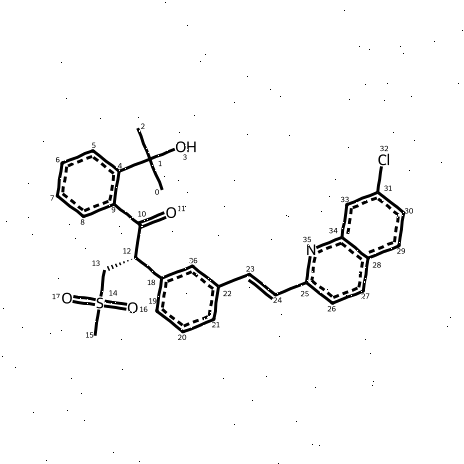 CC(C)(O)c1ccccc1C(=O)[C@@H](CS(C)(=O)=O)c1cccc(C=Cc2ccc3ccc(Cl)cc3n2)c1